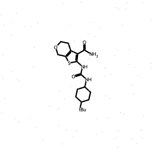 CC(C)(C)C1CCC(NC(=O)Nc2sc3c(c2C(N)=O)CCOC3)CC1